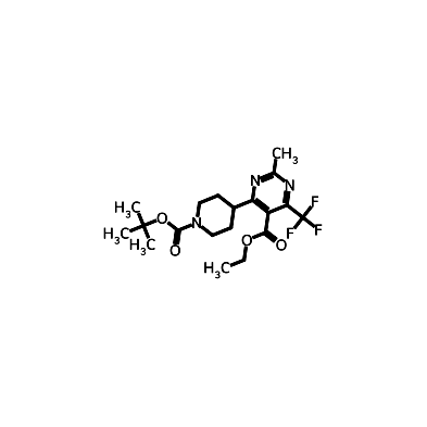 CCOC(=O)c1c(C2CCN(C(=O)OC(C)(C)C)CC2)nc(C)nc1C(F)(F)F